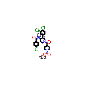 CN(C(=O)c1ccc(Cl)cc1)[C@@H]1CCN(C(=O)C2=CCN(C(=O)OC(C)(C)C)CC2)C[C@H]1c1ccc(Cl)c(Cl)c1